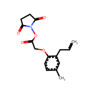 C=CCc1cc(C)ccc1OCC(=O)ON1C(=O)CCC1=O